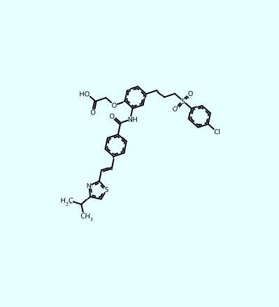 CC(C)c1csc(C=Cc2ccc(C(=O)Nc3cc(CCCS(=O)(=O)c4ccc(Cl)cc4)ccc3OCC(=O)O)cc2)n1